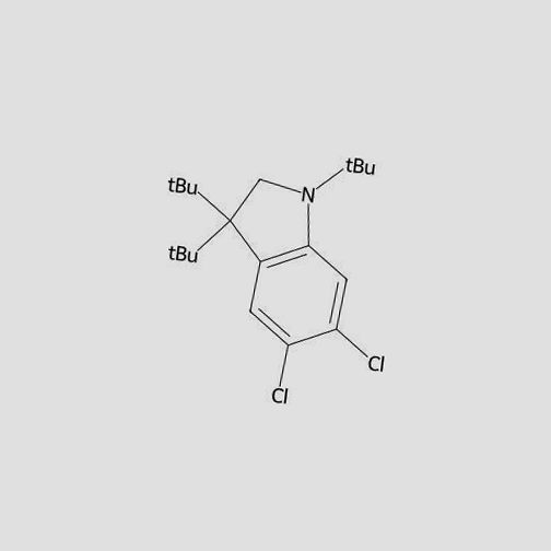 CC(C)(C)N1CC(C(C)(C)C)(C(C)(C)C)c2cc(Cl)c(Cl)cc21